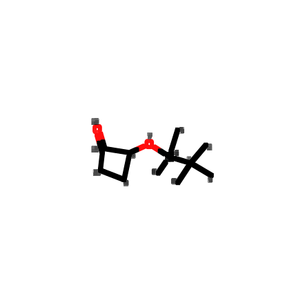 CC(C)(C)[Si](C)(C)OC1CCC1=O